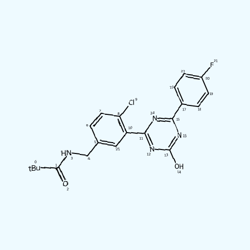 CC(C)(C)C(=O)NCc1ccc(Cl)c(-c2nc(O)nc(-c3ccc(F)cc3)n2)c1